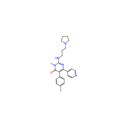 Cn1c(NCCCN2CCCC2)nc(-c2ccncc2)c(-c2ccc(F)cc2)c1=O